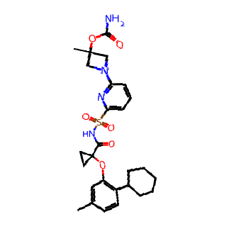 Cc1ccc(C2CCCCC2)c(OC2(C(=O)NS(=O)(=O)c3cccc(N4CC(C)(OC(N)=O)C4)n3)CC2)c1